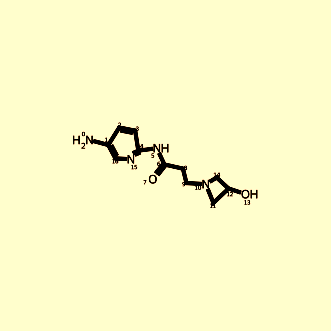 Nc1ccc(NC(=O)CCN2CC(O)C2)nc1